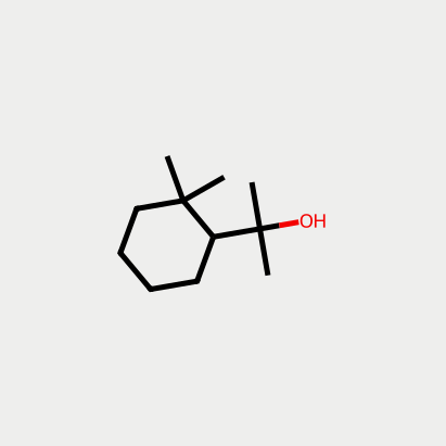 CC(C)(O)C1CCCCC1(C)C